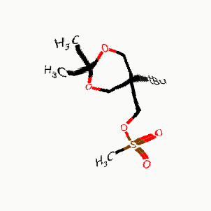 CC1(C)OCC(COS(C)(=O)=O)(C(C)(C)C)CO1